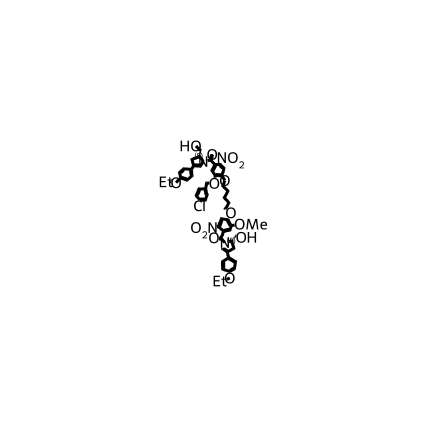 CCOc1ccc(C2=CN(C(=O)c3cc(OC)c(OCCCCCOc4cc([N+](=O)[O-])c(C(=O)N5C=C(c6ccc(OCC)cc6)C[C@H]5CO)cc4OCc4ccc(Cl)cc4)cc3[N+](=O)[O-])[C@H](CO)C2)cc1